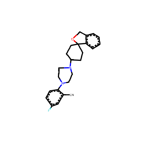 N#Cc1cc(F)ccc1N1CCN(C2CCC3(CC2)OCc2ccccc23)CC1